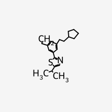 C=Cc1cc(CCC2CCCC2)cc(-c2ncc(C(C)C)s2)c1